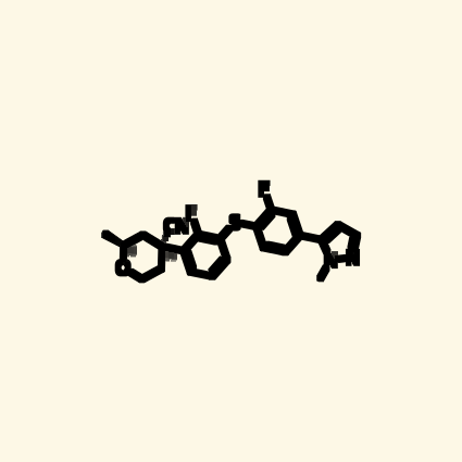 C[C@H]1C[C@@](C#N)(c2cccc(Sc3ccc(-c4ccnn4C)cc3F)c2F)CCO1